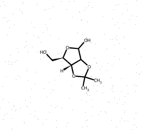 CC1(C)OC2C(O)O[C@H](CO)[C@H]2O1